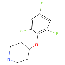 Fc1cc(F)c(OC2CC[N]CC2)c(F)c1